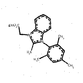 CCOC(=O)C[n+]1c(N)n(-c2c(C)cc(C)cc2C)c2ccccc21